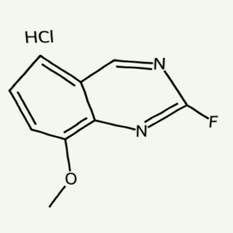 COc1cccc2cnc(F)nc12.Cl